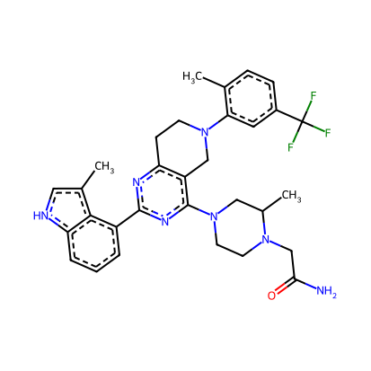 Cc1ccc(C(F)(F)F)cc1N1CCc2nc(-c3cccc4[nH]cc(C)c34)nc(N3CCN(CC(N)=O)C(C)C3)c2C1